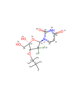 CC(C)(C)[Si](C)(C)OC1C(F)(F)[C@H](n2ccc(=O)[nH]c2=O)O[C@]1(O)CO